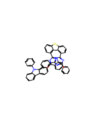 c1ccc(-c2nc(-c3ccccc3)nc(-c3cccc4sc5cccc(-c6nc(-c7ccc8c9ccccc9n(-c9ccccc9)c8c7)c7ccccc7n6)c5c34)n2)cc1